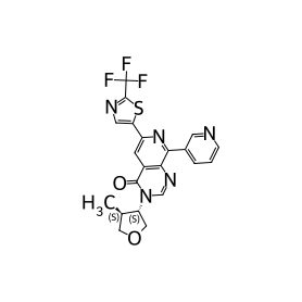 C[C@@H]1COC[C@H]1n1cnc2c(-c3cccnc3)nc(-c3cnc(C(F)(F)F)s3)cc2c1=O